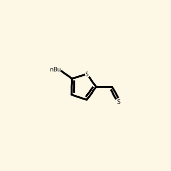 CCCCc1ccc(C=S)s1